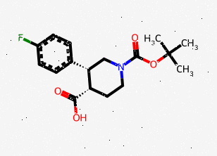 CC(C)(C)OC(=O)N1CC[C@H](C(=O)O)[C@H](c2ccc(F)cc2)C1